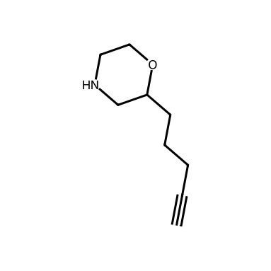 [C]#CCCCC1CNCCO1